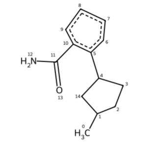 CC1CCC(c2ccccc2C(N)=O)C1